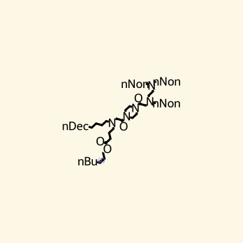 CCCC/C=C\COC(=O)CCCN(CCCCCCCCCCCCCC)CC(=O)N1CCN(C(=O)CN(CCCCCCCCC)CCN(CCCCCCCCC)CCCCCCCCC)CC1